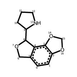 c1cc2c(c3c1COC3C1CCCN1)OCO2